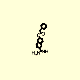 N=C(N)c1ccc2cc(OC(=O)Cc3ccccc3)ccc2c1